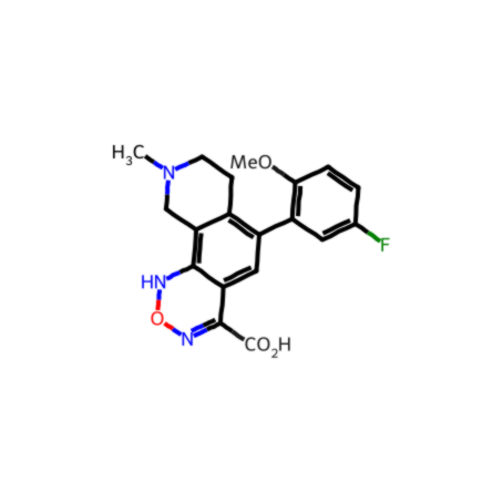 COc1ccc(F)cc1-c1cc2c(c3c1CCN(C)C3)NON=C2C(=O)O